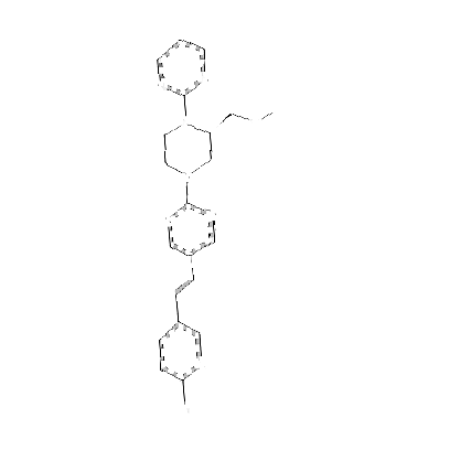 COC[C@H]1CN(c2ncc(/C=C/c3ccc(Br)nc3)cn2)CCN1c1ncccn1